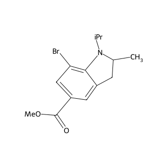 COC(=O)c1cc(Br)c2c(c1)CC(C)N2C(C)C